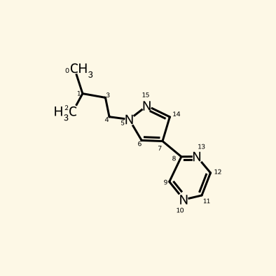 CC(C)CCn1cc(-c2cnccn2)cn1